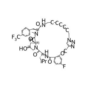 CC(C)C[C@H]1NC(=O)c2ccc(F)cc2OCc2cn(nn2)CCCCCCCNC(=O)[C@H](Cc2ccc(C(F)(F)F)cc2)N(C)C(=O)[C@H]2C[C@H](O)CN2C1=O